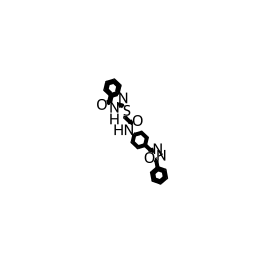 O=C(CSc1nc2ccccc2c(=O)[nH]1)NC1CCC(c2nnc(-c3ccccc3)o2)CC1